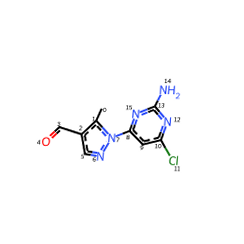 Cc1c(C=O)cnn1-c1cc(Cl)nc(N)n1